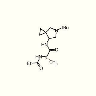 CCC(=O)N[C@@H](C)C(=O)NC1CN(C(C)(C)C)CC12CC2